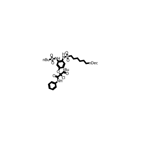 CCCCCCCCCCCCCCCCS(=O)(=O)Nc1ccc(OC(Cl)(C(=O)Nc2ccccc2)C(=O)C(C)(C)C)cc1NS(=O)(=O)CCCC